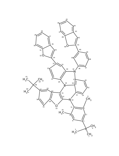 Cc1cc(C(C)(C)C)cc(C)c1N1c2cccc3c2B(c2ccc(-c4cc5ccccc5o4)cc2N3c2cccc(-c3cc4ccccc4o3)c2)c2c1oc1ccc(C(C)(C)C)cc21